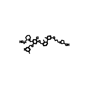 Cc1cncc(COc2cc(OCc3cccc(-c4cc(OCCCN5CC[C@@H](O)C5)ccc4C)c3C)c(Cl)cc2CN2CCCC[C@H]2C(=O)O)c1